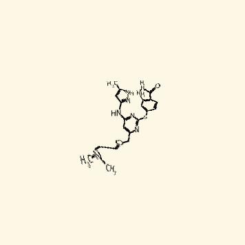 Cc1cc(Nc2cc(COCCN(C)C)nc(Sc3ccc4c(=O)[nH][nH]c4c3)n2)n[nH]1